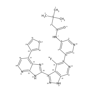 CC(C)(C)CC(=O)Nc1cncc(-c2ncc3[nH]nc(-c4nc5c(-c6ccoc6)ccnc5[nH]4)c3c2F)c1